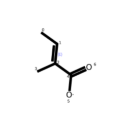 C/C=C(\C)C([O])=O